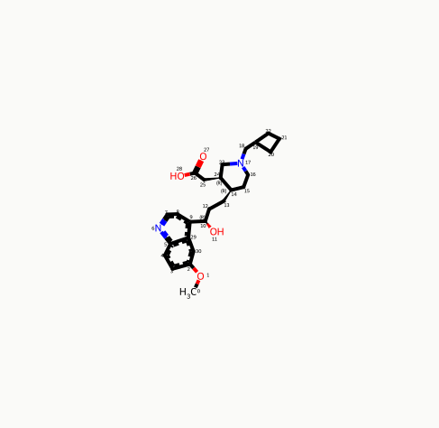 COc1ccc2nccc([C@H](O)CC[C@@H]3CCN(CC4CCC4)C[C@@H]3CC(=O)O)c2c1